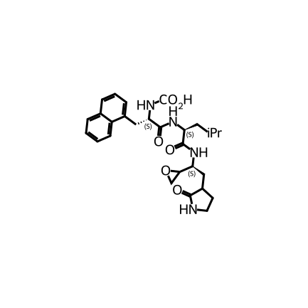 CC(C)C[C@H](NC(=O)[C@H](Cc1cccc2ccccc12)NC(=O)O)C(=O)N[C@@H](CC1CCNC1=O)C1CO1